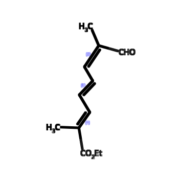 CCOC(=O)/C(C)=C/C=C/C=C(/C)C=O